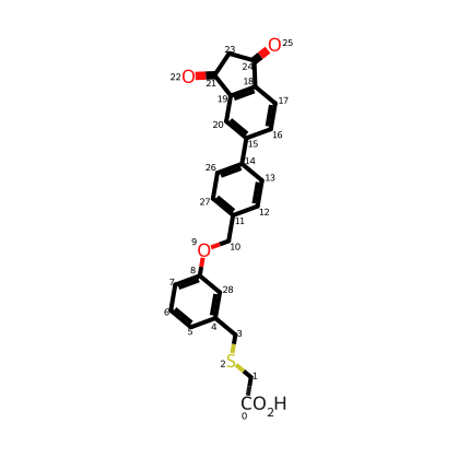 O=C(O)CSCc1cccc(OCc2ccc(-c3ccc4c(c3)C(=O)CC4=O)cc2)c1